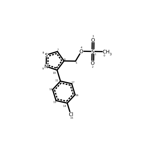 CS(=O)(=O)OCc1csnc1-c1ccc(Cl)cc1